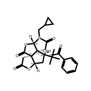 CC(C)(C)[C@]1(O)C[C@@H]2OC(=O)C[C@@]23C(=O)O[C@@H]2N(CC4CC4)C(=O)[C@H](OC(=O)c4ccccc4)[C@]213